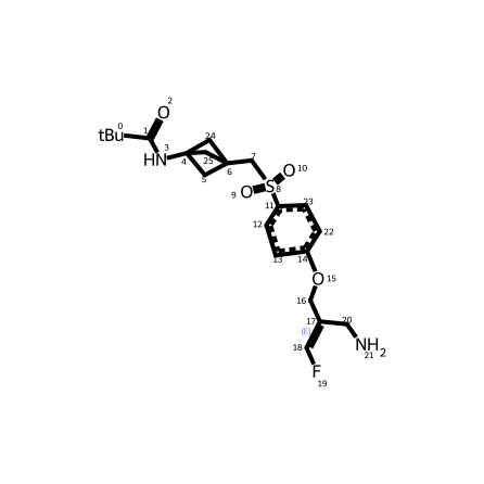 CC(C)(C)C(=O)NC12CC(CS(=O)(=O)c3ccc(OC/C(=C/F)CN)cc3)(C1)C2